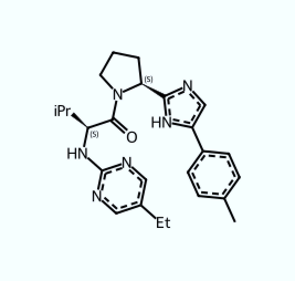 CCc1cnc(N[C@H](C(=O)N2CCC[C@H]2c2ncc(-c3ccc(C)cc3)[nH]2)C(C)C)nc1